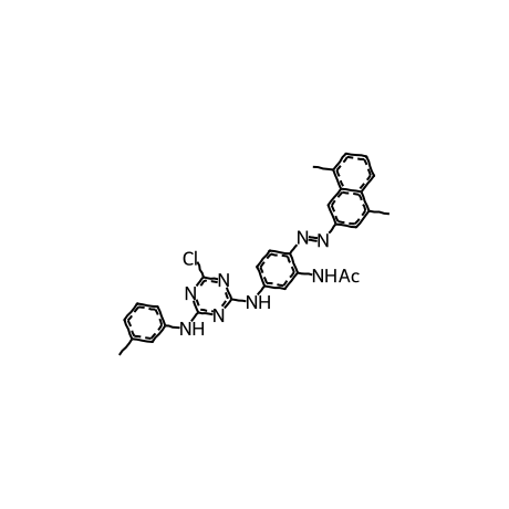 CC(=O)Nc1cc(Nc2nc(Cl)nc(Nc3cccc(C)c3)n2)ccc1N=Nc1cc(C)c2cccc(C)c2c1